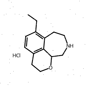 CCc1ccc2c3c1CCNCC3OCC2.Cl